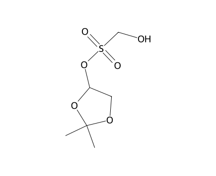 CC1(C)OCC(OS(=O)(=O)CO)O1